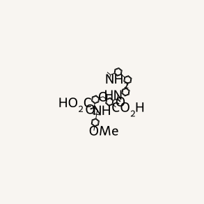 COc1ccc(C(C)(C)NC(=O)c2cc(Oc3ccc(C(=O)O)c(C(=O)Nc4cccc(-c5cccc(-c6cccc(C(C)N)c6)c5)c4)c3)ccc2C(=O)O)cc1